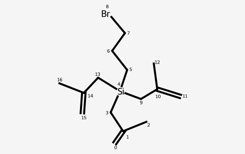 C=C(C)C[Si](CCCBr)(CC(=C)C)CC(=C)C